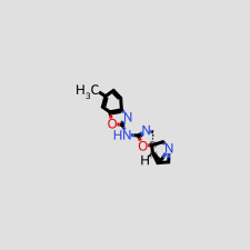 Cc1ccc2nc(NC3=NC[C@@]4(CN5CC[C@@H]4C5)O3)oc2c1